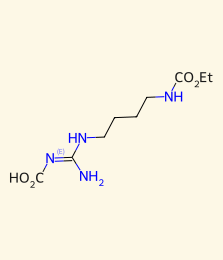 CCOC(=O)NCCCCN/C(N)=N/C(=O)O